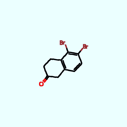 O=C1CCc2c(ccc(Br)c2Br)C1